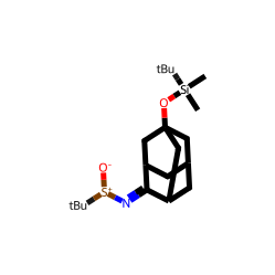 CC(C)(C)[S+]([O-])N=C1C2CC3CC1CC(O[Si](C)(C)C(C)(C)C)(C3)C2